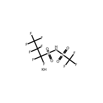 O=S(=O)(NS(=O)(=O)C(F)(F)C(F)(F)C(F)(F)F)C(F)(F)F.[KH]